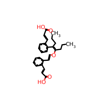 CCCC(OC=Cc1ccccc1C=CC(=O)O)=C(CCC)c1ccccc1C=CC(=O)O